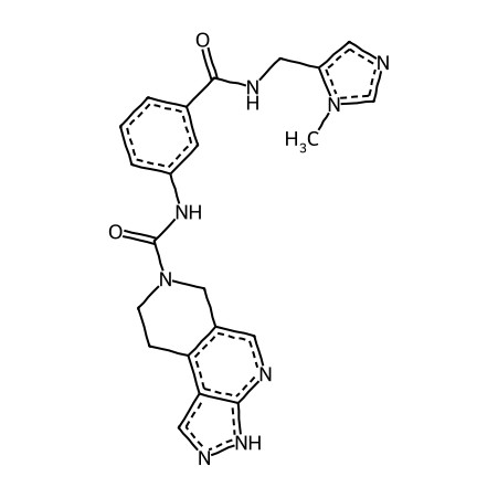 Cn1cncc1CNC(=O)c1cccc(NC(=O)N2CCc3c(cnc4[nH]ncc34)C2)c1